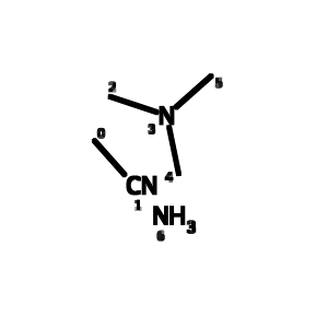 CC#N.CN(C)C.N